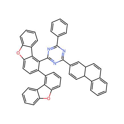 C1=CC2c3ccccc3C=CC2C=C1c1nc(-c2ccccc2)nc(-c2c(-c3cccc4oc5ccccc5c34)ccc3oc4ccccc4c23)n1